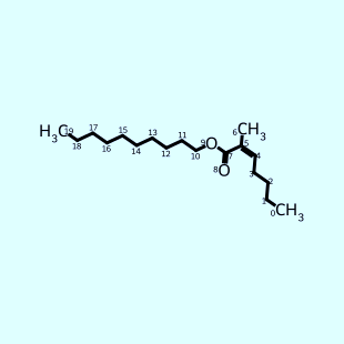 CCCCC=C(C)C(=O)OCCCCCCCCCC